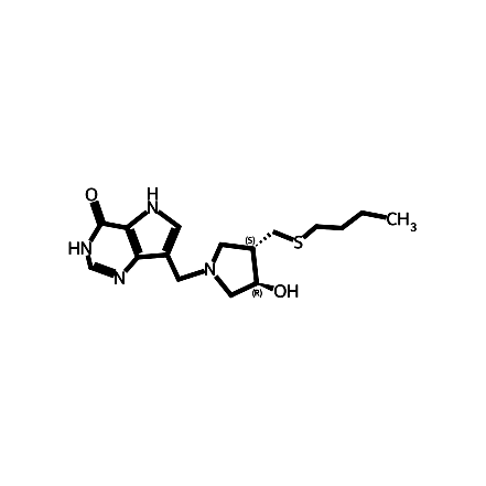 CCCCSC[C@H]1CN(Cc2c[nH]c3c(=O)[nH]cnc23)C[C@@H]1O